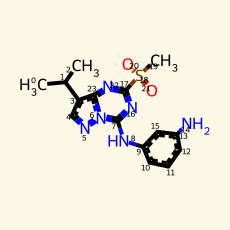 CC(C)c1cnn2c(Nc3cccc(N)c3)nc(S(C)(=O)=O)nc12